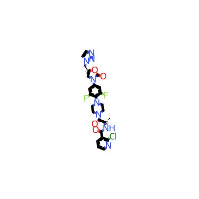 C[C@H](NC(=O)c1cccnc1Cl)C(=O)N1CCN(c2c(F)cc(N3C[C@H](Cn4ccnn4)OC3=O)cc2F)CC1